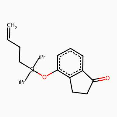 C=CCC[Si](Oc1cccc2c1CCC2=O)(C(C)C)C(C)C